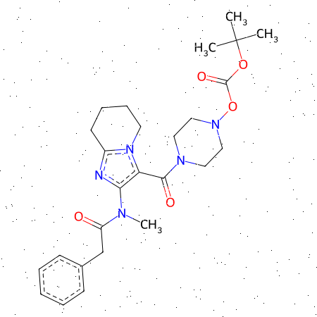 CN(C(=O)Cc1ccccc1)c1nc2n(c1C(=O)N1CCN(OC(=O)OC(C)(C)C)CC1)CCCC2